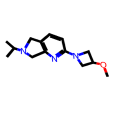 COC1CN(c2ccc3c(n2)CN(C(C)C)C3)C1